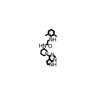 Cc1cccc(C)c1NCC(=O)N[C@@H]1CCCN(c2ncnc3[nH]ccc23)C1